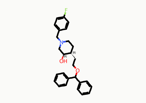 O[C@H]1CN(Cc2ccc(F)cc2)CC[C@@H]1CCOC(c1ccccc1)c1ccccc1